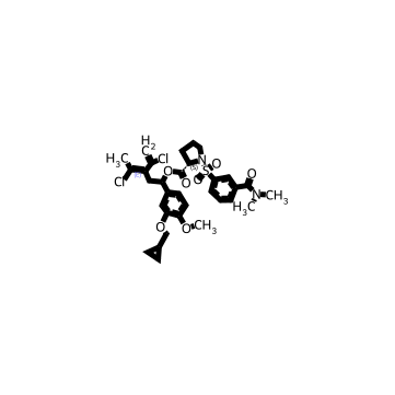 C=C(Cl)/C(CC(OC(=O)[C@@H]1CCCN1S(=O)(=O)c1cccc(C(=O)N(C)C)c1)c1ccc(OC)c(OCC2CC2)c1)=C(\C)Cl